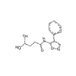 O=C(CCC(O)O)Nc1oncc1-c1ccccc1